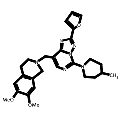 COc1cc2c(cc1OC)CN(Cc1cnc(N3CCC(C)CC3)n3nc(-c4ccco4)nc13)CC2